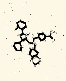 CCCCn1c(-c2ccccc2C)nc(-c2ccccc2)c1CN(Cc1ccc(C(=O)OC)cc1)Cc1ccc2c(c1)OCCO2